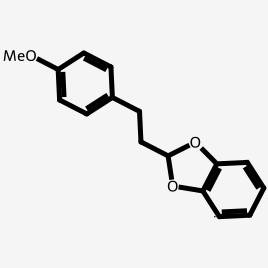 COc1ccc(CCC2Oc3[c]cccc3O2)cc1